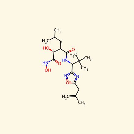 C=C(C)Cc1nc([C@@H](NC(=O)[C@H](CC(C)C)[C@H](O)C(=O)NO)C(C)(C)C)no1